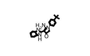 CC(C)(C)c1ccc(N2CC(=O)C(c3nc4ccccc4[nH]3)=C2N)cc1